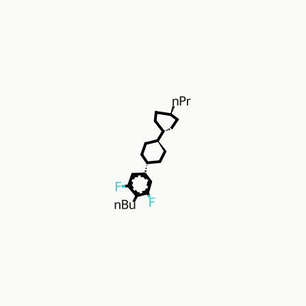 CCCCc1c(F)cc([C@H]2CC[C@H]([C@H]3CC[C@H](CCC)CC3)CC2)cc1F